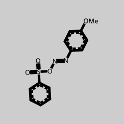 COc1ccc(N=NOS(=O)(=O)c2ccccc2)cc1